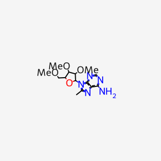 COCC1OC(n2c(C)nc3c(N)ncnc32)C(OC)C1OC